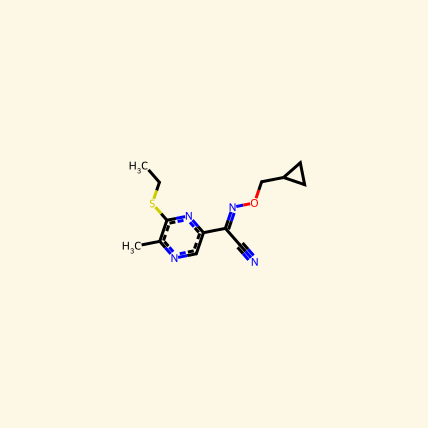 CCSc1nc(/C(C#N)=N/OCC2CC2)cnc1C